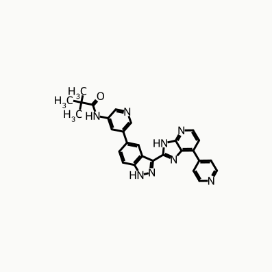 CC(C)(C)C(=O)Nc1cncc(-c2ccc3[nH]nc(-c4nc5c(-c6ccncc6)ccnc5[nH]4)c3c2)c1